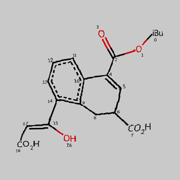 CCC(C)OC(=O)C1=CC(C(=O)O)Cc2c1cccc2/C(O)=C/C(=O)O